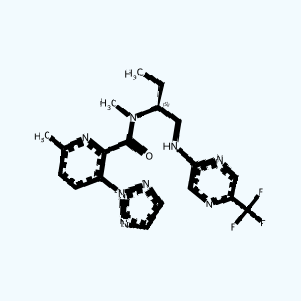 CC[C@@H](CNc1cnc(C(F)(F)F)cn1)N(C)C(=O)c1nc(C)ccc1-n1nccn1